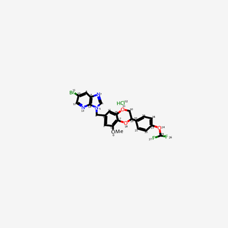 COc1cc(Cn2cnc3cc(Br)cnc32)cc2c1OC(c1ccc(OC(F)F)cc1)CO2.Cl